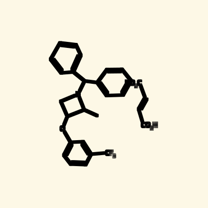 CC1C(Oc2cccc(C(F)(F)F)c2)CN1C(c1ccccc1)c1ccccc1.O=C(O)C=CC(=O)O